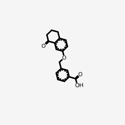 O=C(O)c1cccc(COc2ccc3c(c2)C(=O)CCC3)c1